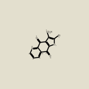 CCc1oc2c(c1C(=O)O)C(=O)c1ncccc1C2=O